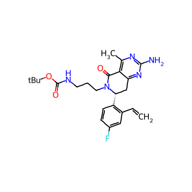 C=Cc1cc(F)ccc1[C@H]1Cc2nc(N)nc(C)c2C(=O)N1CCCNC(=O)OC(C)(C)C